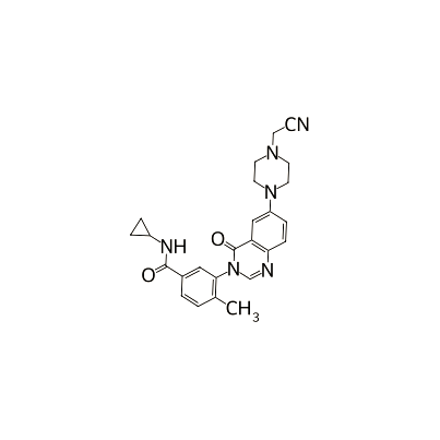 Cc1ccc(C(=O)NC2CC2)cc1-n1cnc2ccc(N3CCN(CC#N)CC3)cc2c1=O